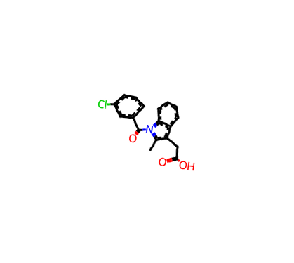 Cc1c(CC(=O)O)c2ccccc2n1C(=O)c1cccc(Cl)c1